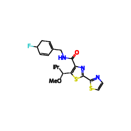 COC(c1sc(-c2nccs2)nc1C(=O)NCC1=CCC(F)C=C1)C(C)C